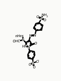 CCCCCCN(C=O)c1[nH]n(-c2ccc(S(=O)(=O)Cl)cc2)c(=O)c1N=Nc1ccc(S(N)(=O)=O)cc1